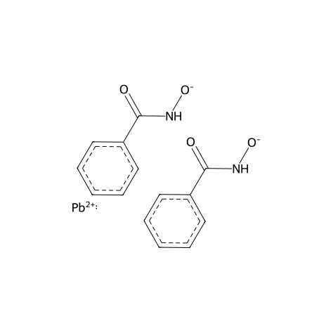 O=C(N[O-])c1ccccc1.O=C(N[O-])c1ccccc1.[Pb+2]